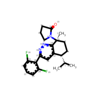 CC(C)[C@H]1CC[C@](C)(N2CCCC2=O)c2nnc(-c3c(F)cccc3F)cc21